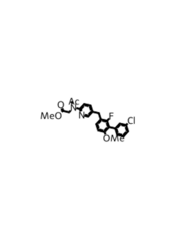 COC(=O)CN(C(C)=O)c1ccc(Cc2ccc(OC)c(-c3cccc(Cl)c3)c2F)cn1